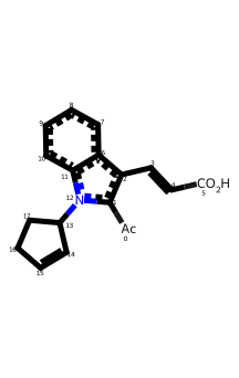 CC(=O)c1c(C=CC(=O)O)c2ccccc2n1C1C=CCC1